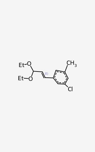 CCOC(/C=C/c1cc(C)cc(Cl)c1)OCC